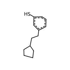 Sc1cccc(CCC2CCCC2)c1